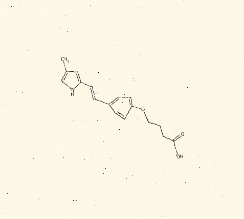 Cc1c[nH]c(/C=C/c2ccc(OCCCC(=O)O)cc2)c1